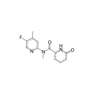 Cc1cc(N(C)C(=O)c2cccc(=O)[nH]2)ncc1F